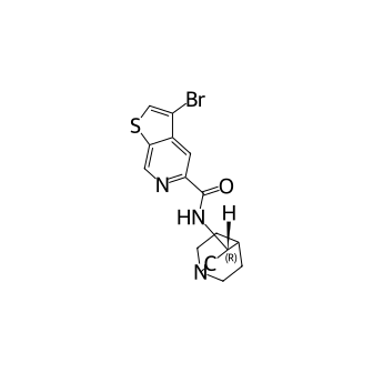 O=C(N[C@H]1CN2CCC1CC2)c1cc2c(Br)csc2cn1